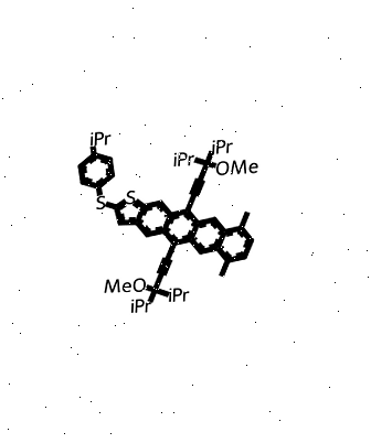 COC(C#Cc1c2cc3cc(Sc4ccc(C(C)C)cc4)sc3cc2c(C#CC(OC)(C(C)C)C(C)C)c2cc3c(C)ccc(C)c3cc12)(C(C)C)C(C)C